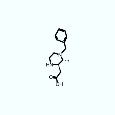 C[C@@H]1[C@@H](CC(=O)O)NCCN1Cc1ccccc1